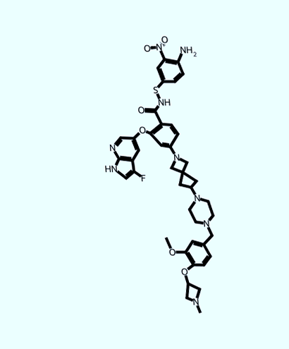 COc1cc(CN2CCN(C3CC4(C3)CN(c3ccc(C(=O)NSc5ccc(N)c([N+](=O)[O-])c5)c(Oc5cnc6[nH]cc(F)c6c5)c3)C4)CC2)ccc1OC1CN(C)C1